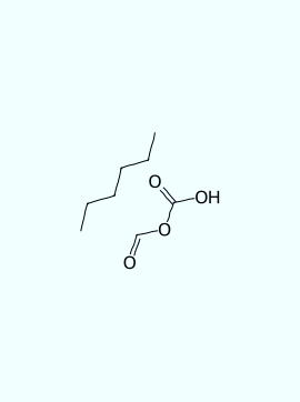 CCCCCC.O=COC(=O)O